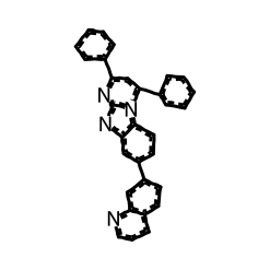 c1ccc(-c2cc(-c3ccccc3)n3c(n2)nc2cc(-c4ccc5cccnc5c4)ccc23)cc1